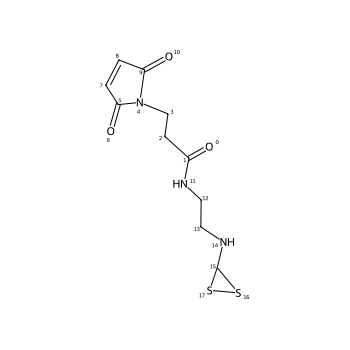 O=C(CCN1C(=O)C=CC1=O)NCCNC1SS1